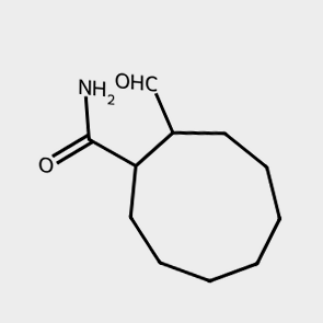 NC(=O)C1CCCCCCCC1C=O